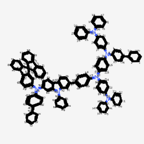 c1ccc(-c2ccc(N(c3ccc(N(c4ccccc4)c4ccccc4)cc3)c3ccc(N(c4ccc(-c5ccc6c7ccc(N(c8ccc(-c9ccccc9)cc8)c8ccc9c(c8)C8(c%10ccccc%10-c%10ccccc%108)c8ccccc8-9)cc7n(-c7ccccc7)c6c5)cc4)c4ccc(N(c5ccccc5)c5ccccc5)cc4)cc3)cc2)cc1